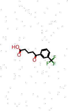 O=C(O)CCCC(=O)c1cccc(C(F)(F)F)c1